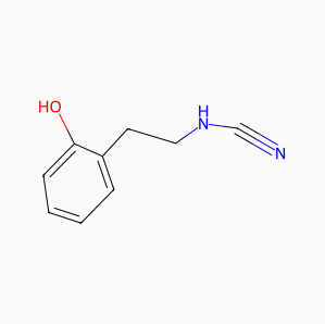 N#CNCCc1ccccc1O